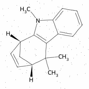 Cn1c2c(c3ccccc31)C(C)(C)[C@@H]1C=C[C@H]2C1